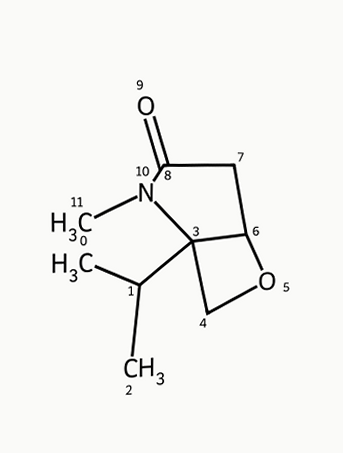 CC(C)C12COC1CC(=O)N2C